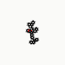 c1ccc(-c2nc(-c3c(-n4c5ccccc5c5cc6ccc(-n7c8ccccc8c8ccc9ccccc9c87)cc6cc54)ccc4ccccc34)nc(-c3cc4ccccc4c4ccccc34)n2)cc1